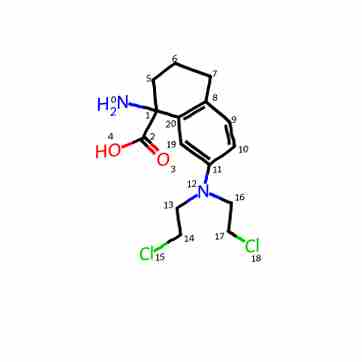 NC1(C(=O)O)CCCc2ccc(N(CCCl)CCCl)cc21